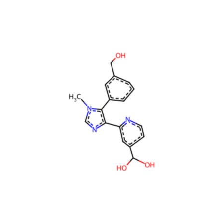 Cn1cnc(-c2cc(C(O)O)ccn2)c1-c1cccc(CO)c1